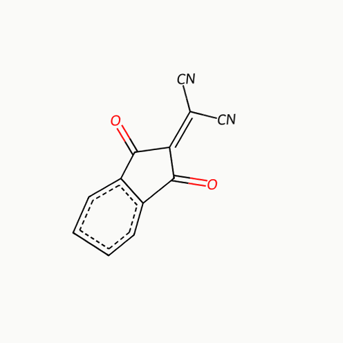 N#CC(C#N)=C1C(=O)c2ccccc2C1=O